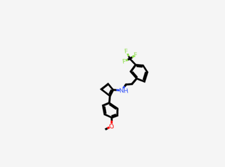 COc1ccc(C2=C(NCCc3cccc(C(F)(F)F)c3)CC2)cc1